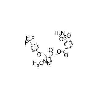 Cn1ncc(C(=O)COC(=O)c2cccc(S(N)(=O)=O)c2)c1COc1ccc(C(F)(F)F)cc1